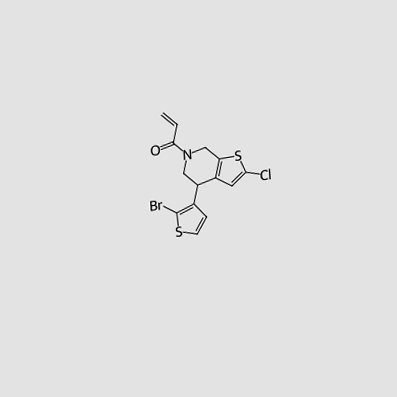 C=CC(=O)N1Cc2sc(Cl)cc2C(c2ccsc2Br)C1